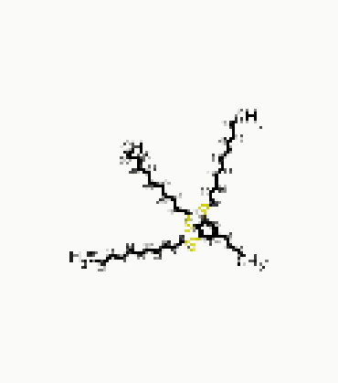 [CH2]CCCc1cc(SCCCCCCCCCCC)c(SCCCCCCCCCCC)c(SCCCCCCCCCCC)c1